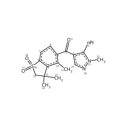 CCCc1c(C(=O)c2ccc3c(c2C)C(C)(C)CS3(=O)=O)cnn1C